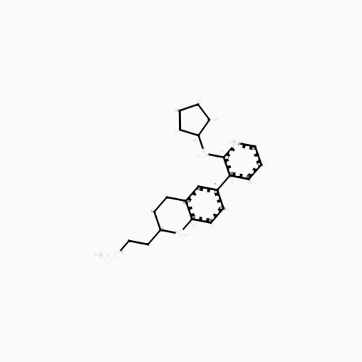 O=C(O)CCC1CCc2cc(-c3cccnc3SC3CCCC3)ccc2S1